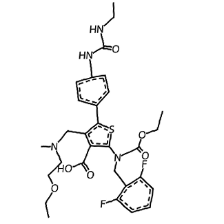 CCNC(=O)Nc1ccc(-c2sc(N(Cc3c(F)cccc3F)C(=O)OCC)c(C(=O)O)c2CN(C)CCOCC)cc1